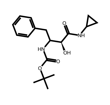 CC(C)(C)OC(=O)NC(Cc1ccccc1)[C@H](O)C(=O)NC1CC1